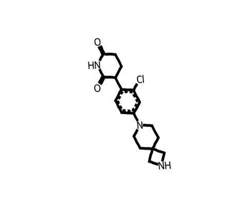 O=C1CCC(c2ccc(N3CCC4(CC3)CNC4)cc2Cl)C(=O)N1